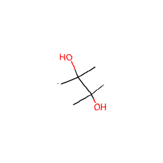 [CH2]C(C)(O)C(C)(C)O